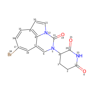 O=C1CCC(n2cc3c4c(ccn4c2=O)C=CC(Br)=C3)C(=O)N1